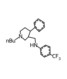 CCCCN1CCC(c2ccccc2)C(CNc2ccc(C(F)(F)F)cc2)C1